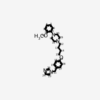 COc1ccccc1N1CCN(CCCCOc2ccc(Cn3ccnc3)cc2)CC1